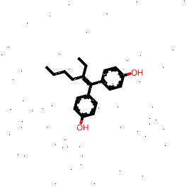 CCCCC(CC)=C(c1ccc(O)cc1)c1ccc(O)cc1